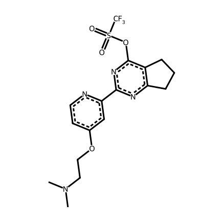 CN(C)CCOc1ccnc(-c2nc3c(c(OS(=O)(=O)C(F)(F)F)n2)CCC3)c1